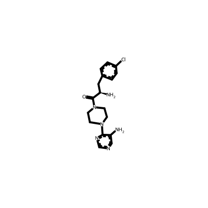 Nc1cncnc1N1CCN(C(=O)[C@H](N)Cc2ccc(Cl)cc2)CC1